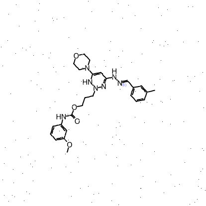 COc1cccc(NC(=O)OCCCN2N=C(N/N=C/c3cccc(C)c3)C=C(N3CCOCC3)N2)c1